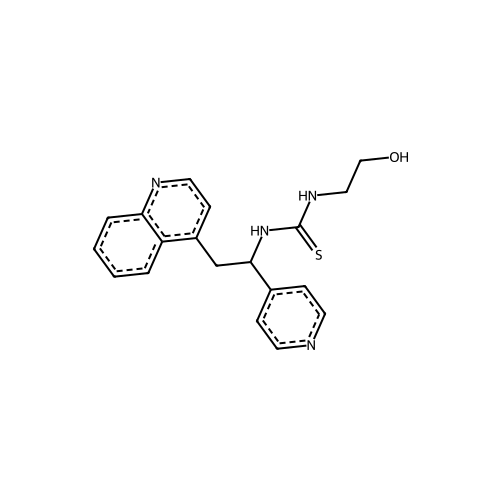 OCCNC(=S)NC(Cc1ccnc2ccccc12)c1ccncc1